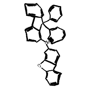 c1ccc(C2(c3ccccc3)c3ccccc3-c3cccc(Nc4ccc5c(c4)oc4ccccc45)c32)cc1